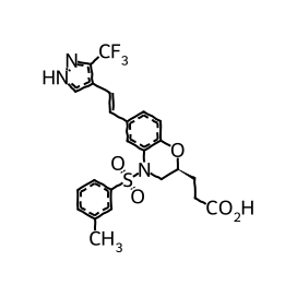 Cc1cccc(S(=O)(=O)N2C[C@H](CCC(=O)O)Oc3ccc(/C=C/c4c[nH]nc4C(F)(F)F)cc32)c1